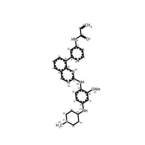 C=CC(=O)Nc1ccnc(-c2cccc3cnc(Nc4ccc(NC5CCN(C)CC5)cc4OC)nc23)c1